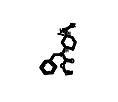 CCN[C@@]1(C)CCC[C@@H](N(Cc2ccccc2)C(=O)OC(C)(C)C)C1